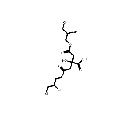 O=C(CC(O)(CC(=O)OCC(O)CCl)C(=O)O)OCC(O)CCl